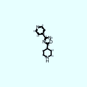 c1cc(-c2noc(C3CCNCC3)n2)ccn1